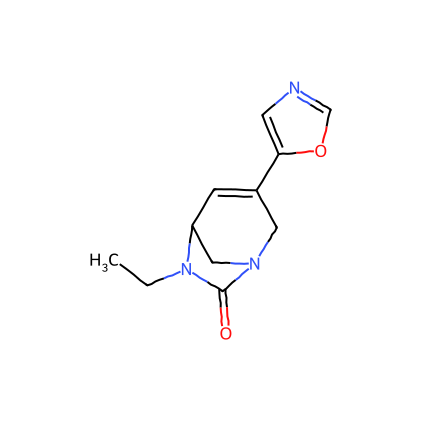 CCN1C(=O)N2CC(c3cnco3)=CC1C2